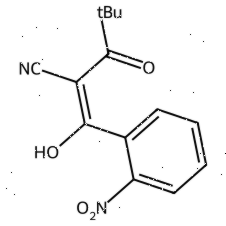 CC(C)(C)C(=O)C(C#N)=C(O)c1ccccc1[N+](=O)[O-]